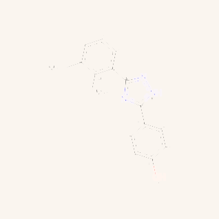 COc1cccc(-c2n[nH]c(-c3ccc(O)cc3)n2)c1OC